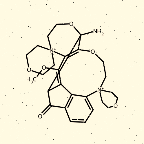 COC1=C2c3c4cccc3[N+]3(CCOCC3)CCOC3=C1[N+]1(CCOCC1)CCOC3(N)C2C4=O